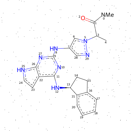 CNC(=O)C(C)n1cc(Nc2nc(N[C@H]3CCc4ccccc43)c3cc[nH]c3n2)cn1